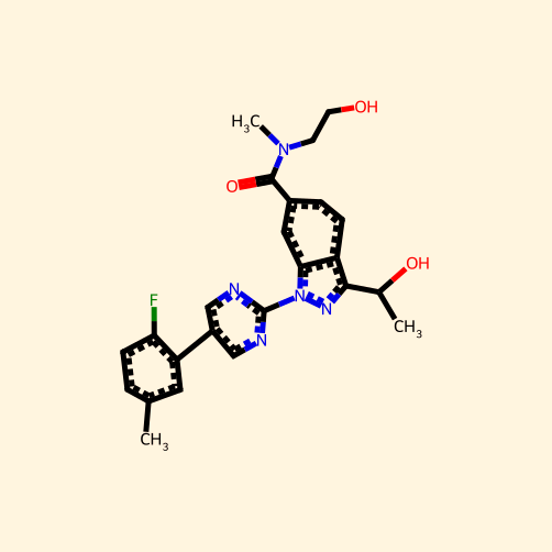 Cc1ccc(F)c(-c2cnc(-n3nc(C(C)O)c4ccc(C(=O)N(C)CCO)cc43)nc2)c1